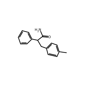 Cc1ccc(CC(C(N)=O)c2ccccc2)cc1